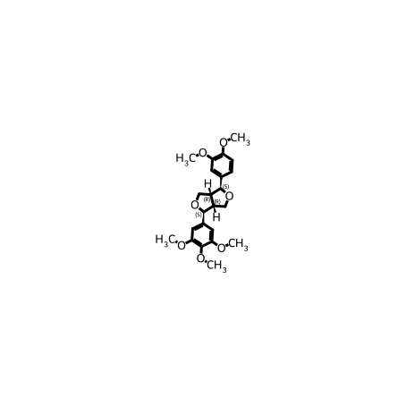 COc1ccc([C@H]2OC[C@H]3[C@@H]2CO[C@@H]3c2cc(OC)c(OC)c(OC)c2)cc1OC